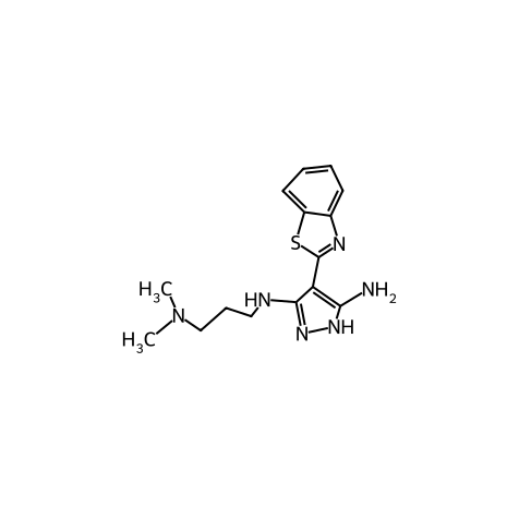 CN(C)CCCNc1n[nH]c(N)c1-c1nc2ccccc2s1